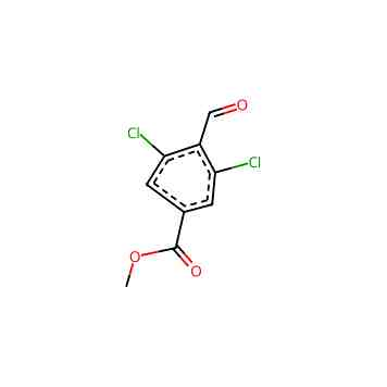 COC(=O)c1cc(Cl)c(C=O)c(Cl)c1